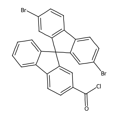 O=C(Cl)c1ccc2c(c1)C1(c3ccccc3-2)c2cc(Br)ccc2-c2ccc(Br)cc21